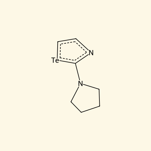 c1c[te]c(N2CCCC2)n1